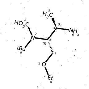 CCOC[C@@H]([C@@H](C)N)N(C(=O)O)C(C)(C)C